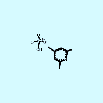 Cc1cc(C)nc(C)c1.[O-][Cl+3]([O-])([O-])O